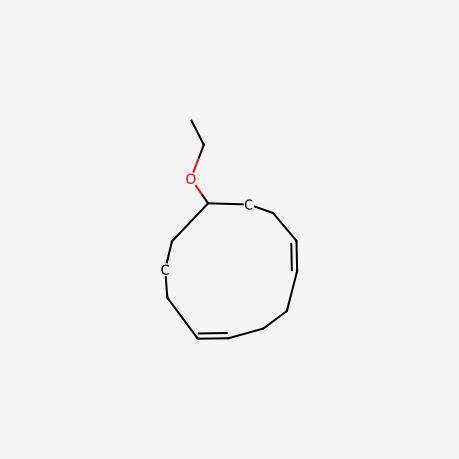 CCOC1CCC=CCCC=CCCC1